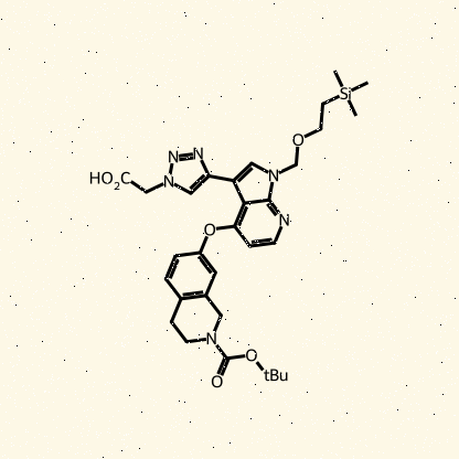 CC(C)(C)OC(=O)N1CCc2ccc(Oc3ccnc4c3c(-c3cn(CC(=O)O)nn3)cn4COCC[Si](C)(C)C)cc2C1